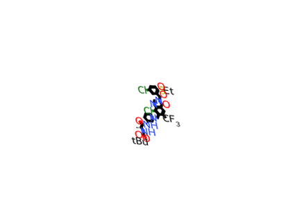 CCS(=O)(=O)c1ccc(Cl)cc1Cn1cnc2c(Cl)c(CN3CCC[C@H](NC(=O)[C@@H](C)NC(=O)OC(C)(C)C)C3)c(C(F)(F)F)cc2c1=O